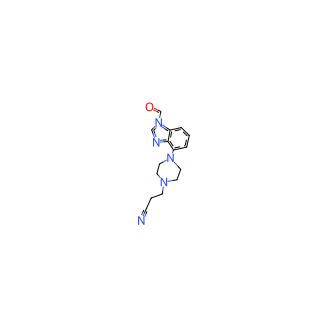 N#CCCN1CCN(c2cccc3c2ncn3C=O)CC1